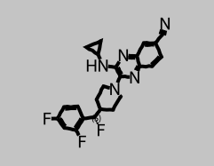 N#Cc1ccc2nc(N3CCC([C@H](F)c4ccc(F)cc4F)CC3)c(NC3CC3)nc2c1